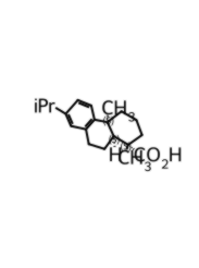 CC(C)c1ccc2c(c1)CC[C@@H]1[C@@](C)(C(=O)O)CCC[C@]21C